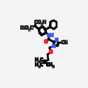 CCOC(=O)C(C(=O)O)c1ccc(NC(=O)c2nc(C#N)cn2COCC[Si](C)(C)C)c(C2=CCCCC2)c1